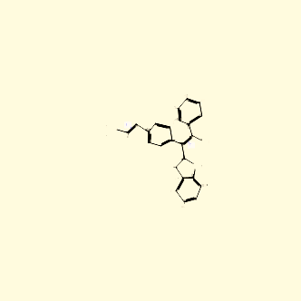 CC/C(=C(/c1ccc(/C=C/C(=O)O)cc1)C1Cc2ccccc2S1)c1ccccc1